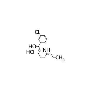 CCC[C@@H]1CCC[C@@H](C(O)c2cccc(Cl)c2)N1.Cl